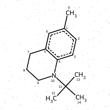 Cc1ccc2c(c1)CCCN2C(C)(C)C